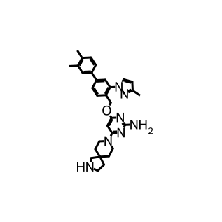 Cc1ccn(-c2cc(-c3ccc(C)c(C)c3)ccc2COc2cc(N3CCC4(CCNC4)CC3)nc(N)n2)n1